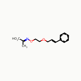 CC(=NOCCOC/C=C/c1ccccc1)C(=O)O